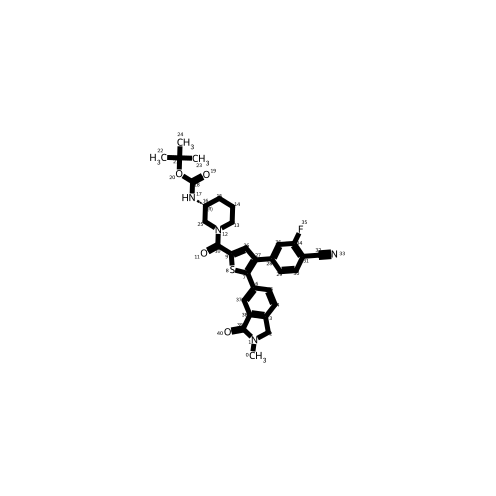 CN1Cc2ccc(-c3sc(C(=O)N4CCC[C@@H](NC(=O)OC(C)(C)C)C4)cc3-c3ccc(C#N)c(F)c3)cc2C1=O